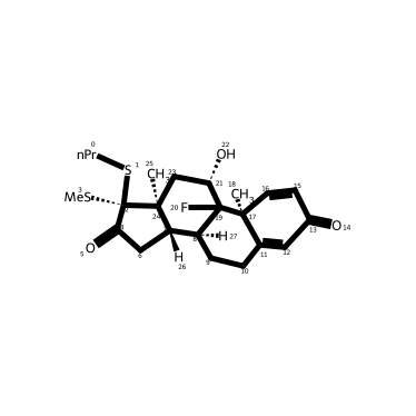 CCCS[C@]1(SC)C(=O)C[C@H]2[C@@H]3CCC4=CC(=O)C=C[C@]4(C)C3(F)[C@@H](O)C[C@@]21C